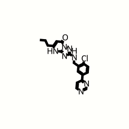 CCCc1cc(=O)n2nc(NCc3cc(-c4ccncn4)ccc3Cl)nc2[nH]1